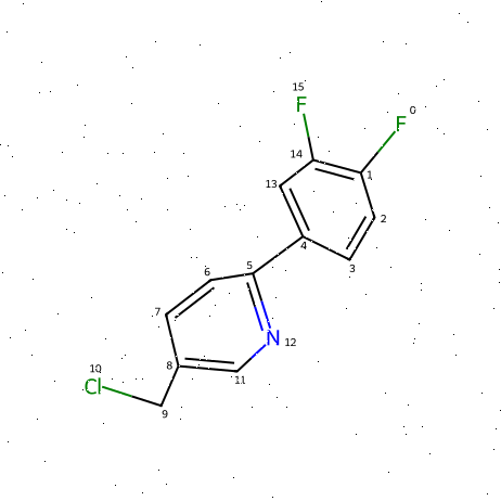 Fc1ccc(-c2ccc(CCl)cn2)cc1F